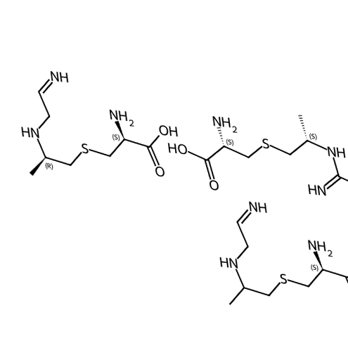 CC(=N)N[C@@H](C)CSC[C@@H](N)C(=O)O.CC(CSC[C@@H](N)C(=O)O)NCC=N.C[C@H](CSC[C@@H](N)C(=O)O)NCC=N